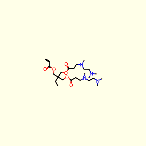 C=CC(=O)OCC(CC)(COC(=O)CCN(C)CCN(C)C)COC(=O)CCN(C)CCN(C)C